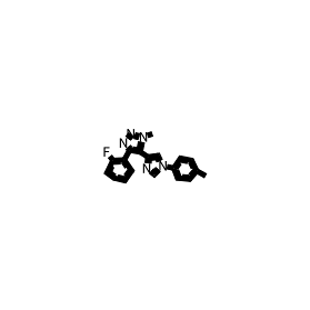 Cc1ccc(-n2cnc(-c3c(-c4ccccc4F)nnn3C)c2)cc1